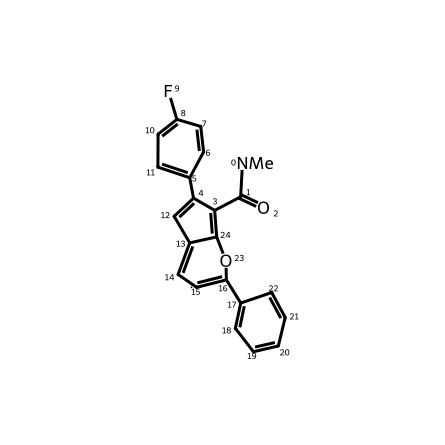 CNC(=O)c1c(-c2ccc(F)cc2)cc2c[c]c(-c3ccccc3)oc1-2